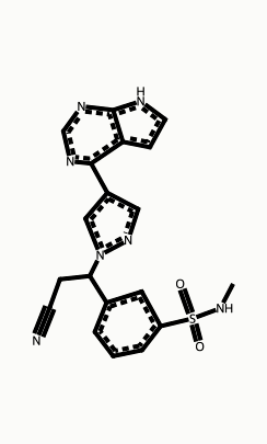 CNS(=O)(=O)c1cccc(C(CC#N)n2cc(-c3ncnc4[nH]ccc34)cn2)c1